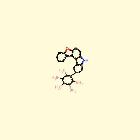 Bc1c(B)c(B)c(-c2ccc3[nH]c4ccc5oc6ccccc6c5c4c3c2)c(B)c1B